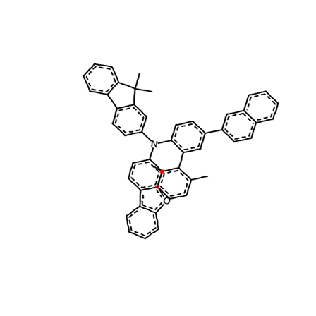 Cc1cccc(C)c1-c1cc(-c2ccc3ccccc3c2)ccc1N(c1ccc2c(c1)C(C)(C)c1ccccc1-2)c1ccc2c(c1)oc1ccccc12